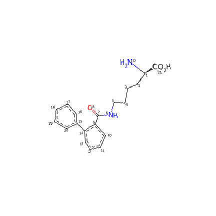 N[C@H](CCCCNC(=O)c1ccccc1-c1ccccc1)C(=O)O